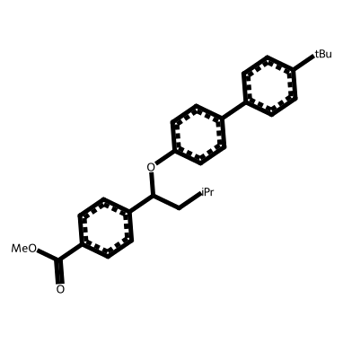 COC(=O)c1ccc(C(CC(C)C)Oc2ccc(-c3ccc(C(C)(C)C)cc3)cc2)cc1